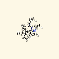 C=C\C=C/C=C(CC(=C)C1=CC=CCC1C(C)(C=CCC)CC)/N=C\C